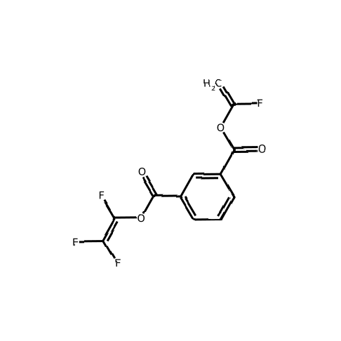 C=C(F)OC(=O)c1cccc(C(=O)OC(F)=C(F)F)c1